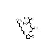 CCCCCCC=C[C@H]1CCC(=O)[C@@H]1CCC(C)CCC(O)C(=O)O